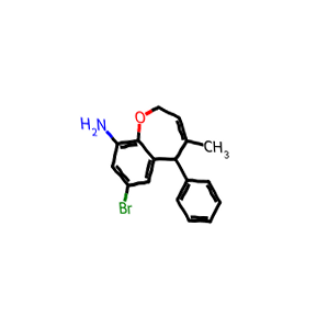 CC1=CCOc2c(N)cc(Br)cc2C1c1ccccc1